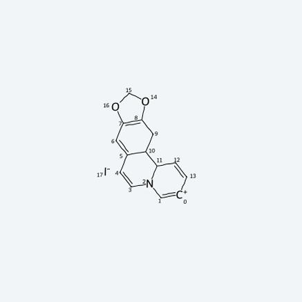 [C+]1=CN2C=CC3=CC4=C(CC3C2C=C1)OCO4.[I-]